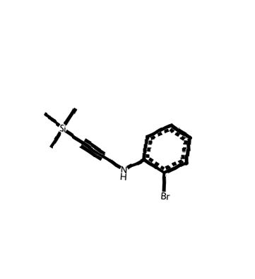 C[Si](C)(C)C#CNc1ccccc1Br